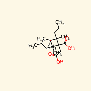 CCCC(C)(CC)C(CC(=O)O)(C(=O)O)C(C)(CC)CCC